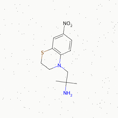 CC(C)(N)CN1CCSc2cc([N+](=O)[O-])ccc21